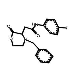 O=C(CC1C(=O)OCCN1Cc1ccccc1)Nc1ccc(F)cc1